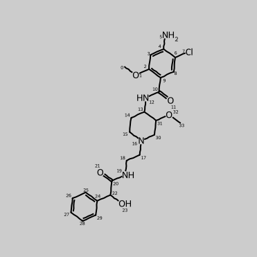 COc1cc(N)c(Cl)cc1C(=O)NC1CCN(CCNC(=O)C(O)c2ccccc2)CC1OC